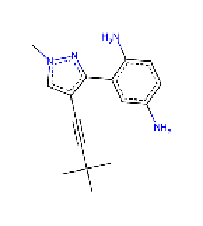 Cn1cc(C#CC(C)(C)C)c(-c2cc(N)ccc2N)n1